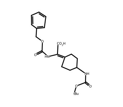 CC(C)(C)OC(=O)NC1CCC(=C(NC(=O)OCc2ccccc2)C(=O)O)CC1